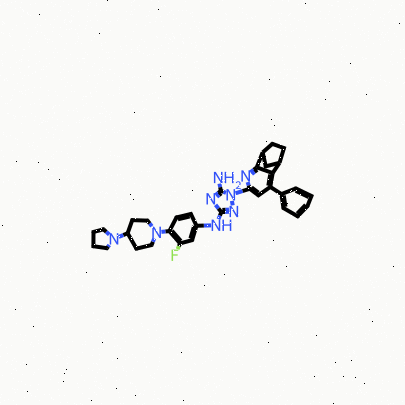 Nc1nc(Nc2ccc(N3CCC(N4CCCC4)CC3)c(F)c2)nn1-c1cc(-c2ccccc2)c2c(n1)C1CCC2C1